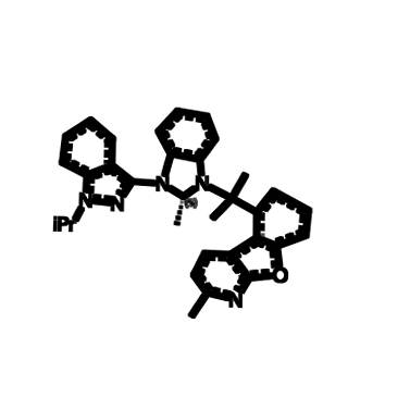 Cc1ccc2c(n1)oc1cccc(C(C)(C)N3c4ccccc4N(c4nn(C(C)C)c5ccccc45)[C@H]3C)c12